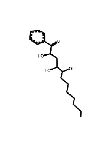 CCCCCCCC(O)C(O)CC(O)C(=O)c1ccccc1